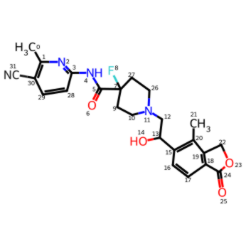 Cc1nc(NC(=O)C2(F)CCN(CC(O)c3ccc4c(c3C)COC4=O)CC2)ccc1C#N